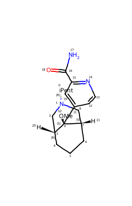 CCC[C@@H](C)N1C[C@H]2CCC[C@@H](C1)[C@@]2(OC)c1ccnc(C(N)=O)c1